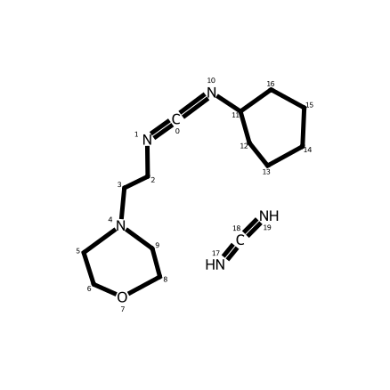 C(=NCCN1CCOCC1)=NC1CCCCC1.N=C=N